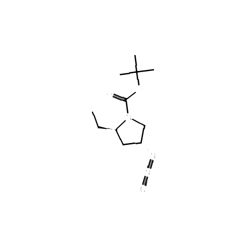 CC[C@@H]1C[C@@H](N=[N+]=[N-])CN1C(=O)OC(C)(C)C